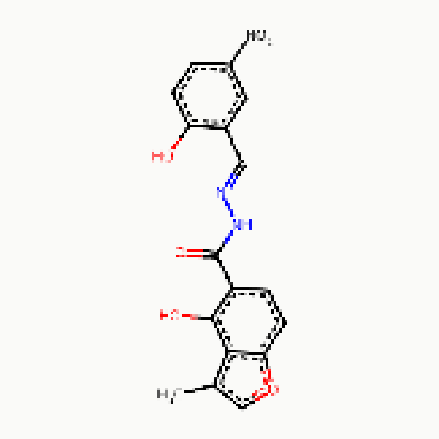 Cc1coc2ccc(C(=O)NN=Cc3cc([N+](=O)[O-])ccc3O)c(O)c12